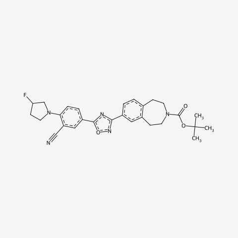 CC(C)(C)OC(=O)N1CCc2ccc(-c3noc(-c4ccc(N5CCC(F)C5)c(C#N)c4)n3)cc2CC1